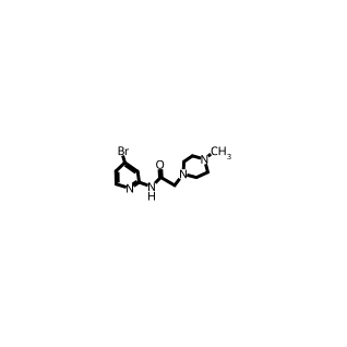 CN1CCN(CC(=O)Nc2cc(Br)ccn2)CC1